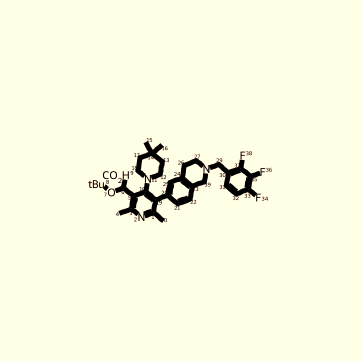 Cc1nc(C)c(C(OC(C)(C)C)C(=O)O)c(N2CCC(C)(C)CC2)c1-c1ccc2c(c1)CCN(Cc1ccc(F)c(F)c1F)C2